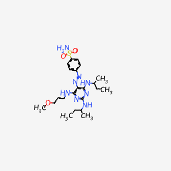 CCC(C)Nc1nc(NCCCOC)c(N=Nc2ccc(S(N)(=O)=O)cc2)c(NC(C)CC)n1